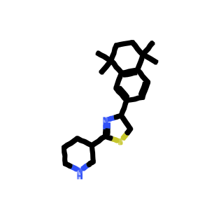 CC1(C)CCC(C)(C)c2cc(C3CSC(C4CCCNC4)=N3)ccc21